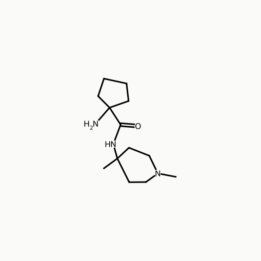 CN1CCC(C)(NC(=O)C2(N)CCCC2)CC1